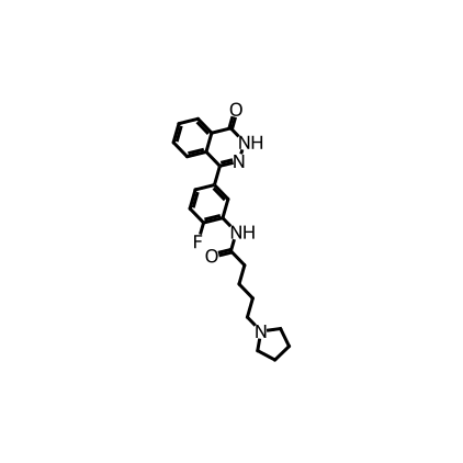 O=C(CCCCN1CCCC1)Nc1cc(-c2n[nH]c(=O)c3ccccc23)ccc1F